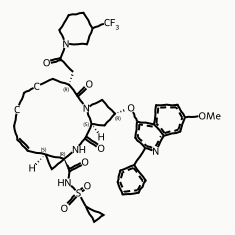 COc1ccc2c(O[C@@H]3C[C@H]4C(=O)N[C@]5(C(=O)NS(=O)(=O)C6CC6)C[C@H]5C=CCCCCC[C@H](CC(=O)N5CCCC(C(F)(F)F)C5)C(=O)N4C3)cc(-c3ccccc3)nc2c1